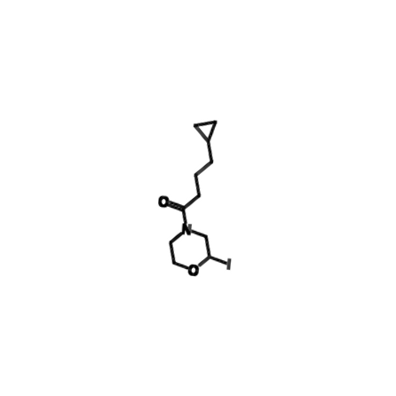 O=C(CCCC1CC1)N1CCOC(I)C1